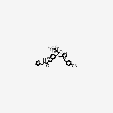 N#Cc1ccc(Cn2cncc2CN(C(=O)C(F)(F)C(F)(F)C(F)(F)F)c2ccc3sc(C(=O)NCc4cccs4)cc3c2)cc1